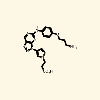 NCCCOc1ccc(Nc2ncc3nnn(-c4cnn(CCC(=O)O)c4)c3n2)cc1